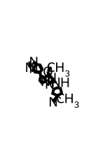 COc1nc(N[C@H]2CC[C@@](C)(C#N)CC2)nn2ccc(-c3ccc4ncnn4c3)c12